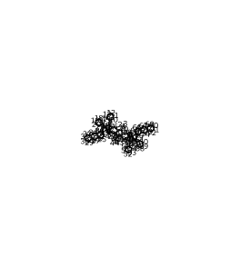 CC(C)(C)c1c2cc3c(-c4ccccc4)c(-c4ccccc4)n(-c4ccc5cc6ccccc6cc5c4)c3cc2c(C(C)(C)C)c2cc3c(-c4ccccc4)c(-c4ccccc4)n(-c4ccc5cc6ccccc6cc5c4)c3cc12